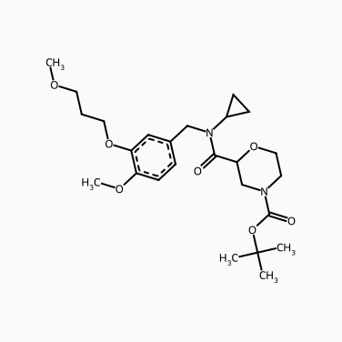 COCCCOc1cc(CN(C(=O)C2CN(C(=O)OC(C)(C)C)CCO2)C2CC2)ccc1OC